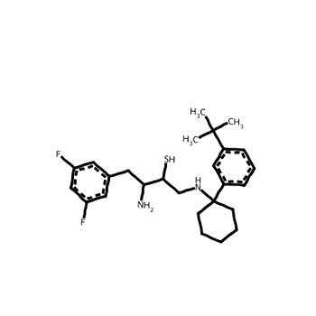 CC(C)(C)c1cccc(C2(NCC(S)C(N)Cc3cc(F)cc(F)c3)CCCCC2)c1